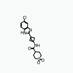 O=C(NC12CC(c3nc4cc(Cl)ccc4[nH]3)(C1)C2)C1CCS(=O)(=O)CC1